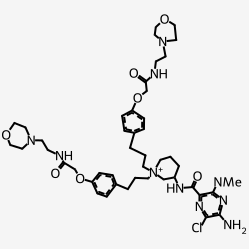 CNc1nc(N)c(Cl)nc1C(=O)NC1CCC[N+](CCCc2ccc(OCC(=O)NCCN3CCOCC3)cc2)(CCCc2ccc(OCC(=O)NCCN3CCOCC3)cc2)C1